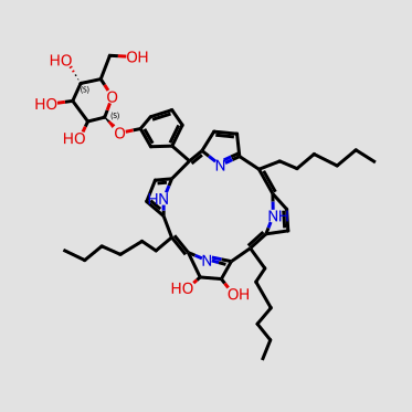 CCCCCCc1c2nc(c(-c3cccc(O[C@@H]4OC(CO)[C@@H](O)C(O)C4O)c3)c3ccc([nH]3)c(CCCCCC)c3nc(c(CCCCCC)c4ccc1[nH]4)C(O)C3O)C=C2